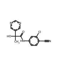 CC(O)(C(=O)Nc1ccc(C#N)c(Cl)c1)c1cncnc1